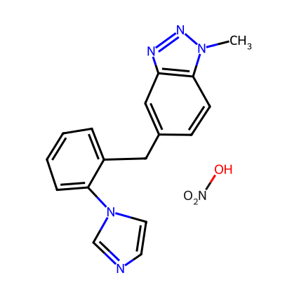 Cn1nnc2cc(Cc3ccccc3-n3ccnc3)ccc21.O=[N+]([O-])O